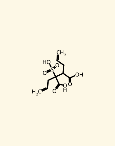 C=CCC(C(=O)O)C(CC=C)(C(=O)O)S(=O)(=O)O